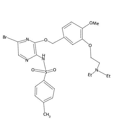 CCN(CC)CCOc1cc(COc2nc(Br)cnc2NS(=O)(=O)c2ccc(C)cc2)ccc1OC